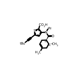 CC1=CC[C@@H](C(=O)N(c2cc(C#CC(C)(C)C)sc2C(=O)O)C(C)C)[C@H](C)C1